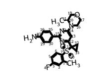 Cc1cc(F)ccc1S(=O)(=O)C1(c2cc(N3CCOC[C@@H]3C)nc(-c3ccc(N)cc3)n2)CC1